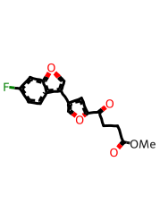 COC(=O)CCC(=O)c1cc(-c2coc3cc(F)ccc23)co1